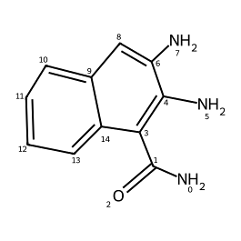 NC(=O)c1c(N)c(N)cc2ccccc12